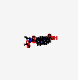 CCCN(COC(C)=O)C(=O)O[C@H]1CC[C@@]2(C)[C@H](CC[C@H]3[C@@H]2CC[C@]2(C)[C@@H](C(=O)O)CC[C@]32N)C1